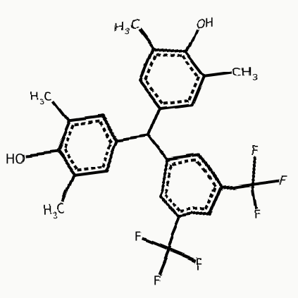 Cc1cc(C(c2cc(C(F)(F)F)cc(C(F)(F)F)c2)c2cc(C)c(O)c(C)c2)cc(C)c1O